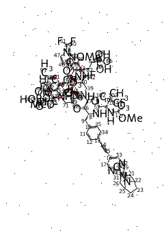 COC(=O)N[C@H](C(=O)N[C@@H](Cc1ccc(C#Cc2cnc(N3CC4CCC(C3)N4C3COC3)nc2)cc1)[C@H](CN(Cc1c(F)cc(-c2ccn(C(F)F)n2)cc1F)NC(=O)[C@@H](NC(=O)OC)C(C)(C)C(F)(F)F)OC(=O)CC(C)(C)c1c(CC(=O)NC(CCP(=O)(O)O)C(=O)OC)cc(C)cc1OP(=O)(O)O)C(C)(C)C(F)(F)F